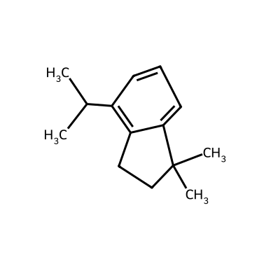 CC(C)c1cccc2c1CCC2(C)C